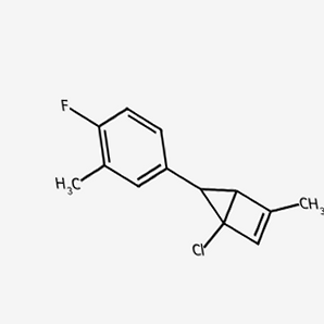 CC1=CC2(Cl)C1C2c1ccc(F)c(C)c1